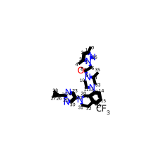 Cc1cc(C)n(CC(=O)N2CCN(c3ccc(C(F)(F)F)c4c3CN(c3cnc(C5CC5)nc3)CC4)CC2C)n1